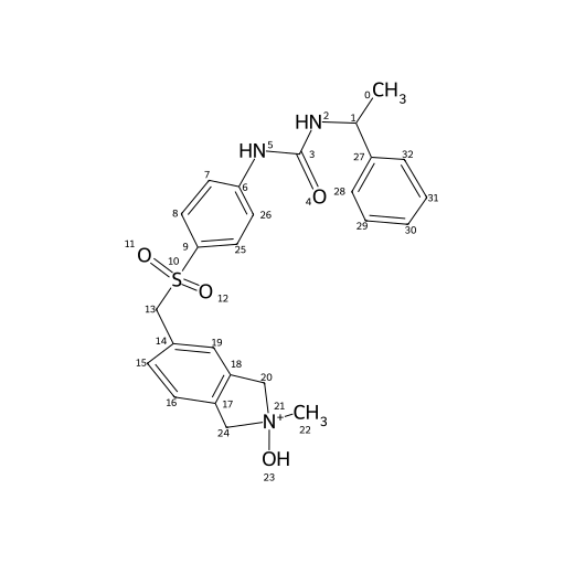 CC(NC(=O)Nc1ccc(S(=O)(=O)Cc2ccc3c(c2)C[N+](C)(O)C3)cc1)c1ccccc1